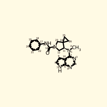 CN(c1ncnc2[nH]ccc12)[C@H]1CN(C(=O)Nc2ccccc2)CC12CC2